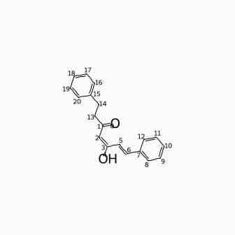 O=C(/C=C(/O)C=Cc1ccccc1)CCc1ccccc1